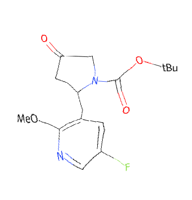 COc1ncc(F)cc1C1CC(=O)CN1C(=O)OC(C)(C)C